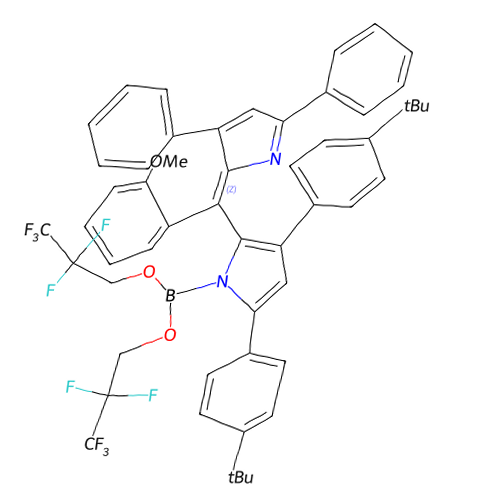 COc1ccccc1/C(=C1/N=C(c2ccccc2)C=C1c1ccccc1)c1c(-c2ccc(C(C)(C)C)cc2)cc(-c2ccc(C(C)(C)C)cc2)n1B(OCC(F)(F)C(F)(F)F)OCC(F)(F)C(F)(F)F